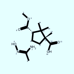 CC(N)=NO.COC(=O)[C@H]1CC[C@@](C)(C(=O)O)C1(C)C